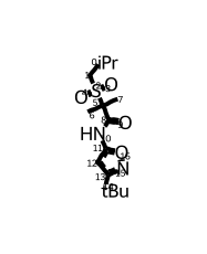 CC(C)CS(=O)(=O)C(C)(C)C(=O)Nc1cc(C(C)(C)C)no1